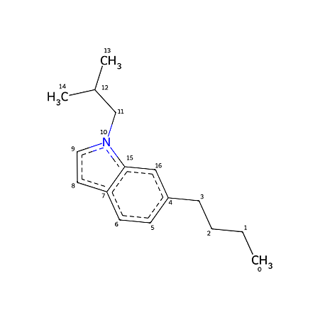 CCCCc1ccc2ccn(CC(C)C)c2c1